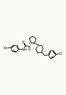 CCc1ccc(NC(=O)N[C@@H]2CCC[C@H]2N2CCC(Cc3ccc(Cl)cc3)CC2)cc1